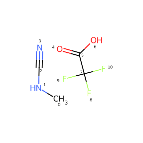 CNC#N.O=C(O)C(F)(F)F